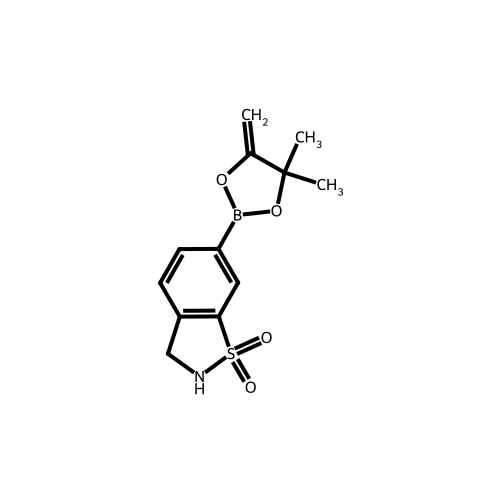 C=C1OB(c2ccc3c(c2)S(=O)(=O)NC3)OC1(C)C